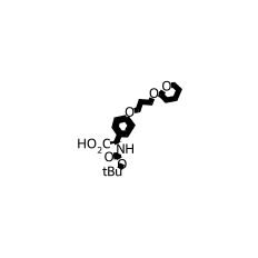 CC(C)(C)OC(=O)N[C@@H](C(=O)O)c1ccc(OCCCOC2CCCCO2)cc1